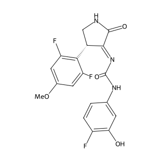 COc1cc(F)c([C@@H]2CNC(=O)/C2=N/C(=O)Nc2ccc(F)c(O)c2)c(F)c1